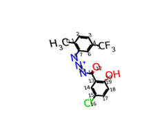 Cc1ccc(C(F)(F)F)cc1N=[N+]=NC(=O)c1cc(Cl)ccc1O